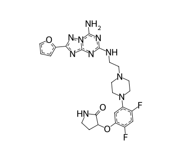 Nc1nc(NCCN2CCN(c3cc(OC4CCNC4=O)c(F)cc3F)CC2)nc2nc(-c3ccco3)nn12